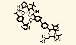 COC(=O)CC1N=C(c2ccc(-c3ccc(C(=O)NC(C(=O)N4CCC[C@H]4C(=O)NC(C)c4ccc(-c5scnc5C)cc4)C(C)(C)C)c(OC)c3)cc2)c2c(sc(C)c2C)-n2c(C)nnc21